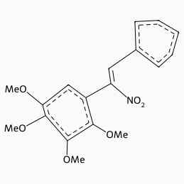 COc1cc(C(=Cc2ccccc2)[N+](=O)[O-])c(OC)c(OC)c1OC